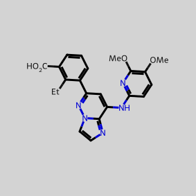 CCc1c(C(=O)O)cccc1-c1cc(Nc2ccc(OC)c(OC)n2)c2nccn2n1